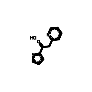 Cl.O=C(Cc1ccccn1)c1cccs1